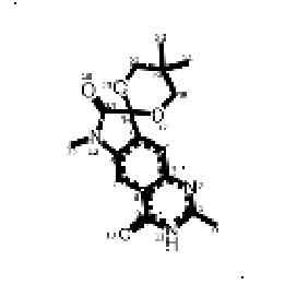 Cc1nc2cc3c(cc2c(=O)[nH]1)N(C)C(=O)C31OCC(C)(C)CO1